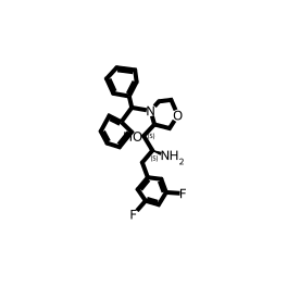 N[C@@H](Cc1cc(F)cc(F)c1)[C@H](O)C1COCCN1C(c1ccccc1)c1ccccc1